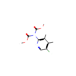 Cc1c(Br)cnc(N(C(=O)OC(C)(C)C)C(=O)OC(C)(C)C)c1C